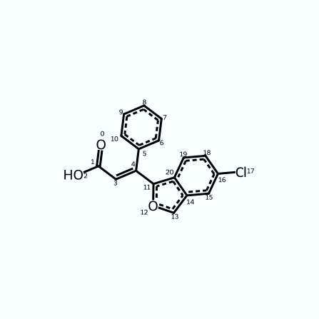 O=C(O)/C=C(\c1ccccc1)c1occ2cc(Cl)ccc12